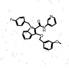 COc1cccc(COc2c(C(=O)Nc3cccnc3)n(Cc3ccc(F)cc3)c3ccccc23)c1